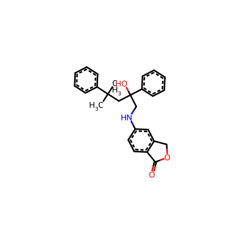 CC(C)(CC(O)(CNc1ccc2c(c1)COC2=O)c1ccccc1)c1ccccc1